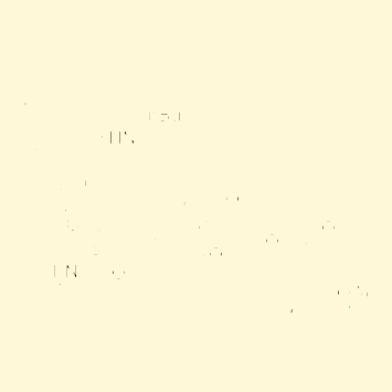 CCCCNc1cc(C(=O)OC(C)OC(=O)C(C)OC(C)=O)cc(S(N)(=O)=O)c1Oc1ccccc1